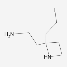 NCCC1(CCI)CCN1